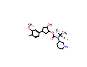 COc1cc(C2CC(O)C(OC(=O)N(C3CCCNC3)C(C)(C)C)C2)ccc1F